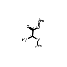 CCCCOC(=O)C(C)OCCCC